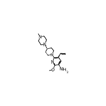 C=Cc1cc(N)c(OC)nc1N1CCC(N2CCN(C)CC2)CC1